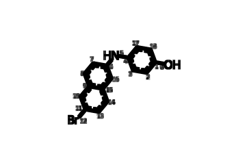 Oc1ccc(Nc2ccc3cc(Br)ccc3c2)cc1